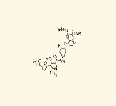 C=Cc1ccc(-c2c(C)ncc(C(=O)Nc3ccc(Oc4ccnc5cc(OC)c(OC)nc45)c(F)c3)c2O)o1